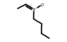 C/C=[N+](/[O-])CCCC